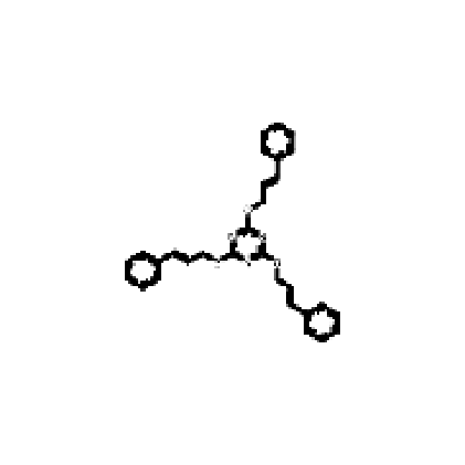 C(=Cc1ccccc1)COc1nc(OCC=Cc2ccccc2)nc(SCC=Cc2ccccc2)n1